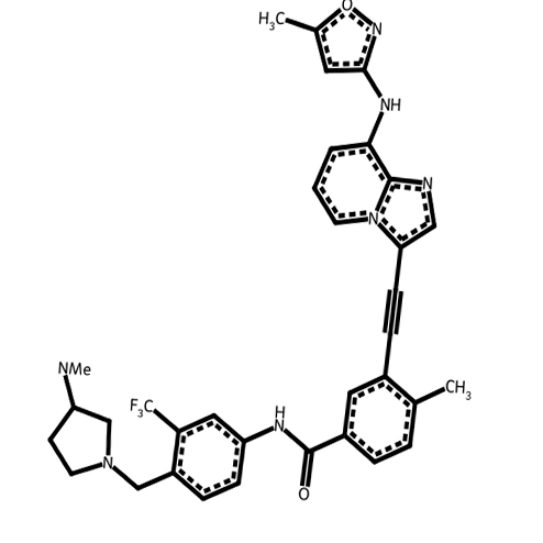 CNC1CCN(Cc2ccc(NC(=O)c3ccc(C)c(C#Cc4cnc5c(Nc6cc(C)on6)cccn45)c3)cc2C(F)(F)F)C1